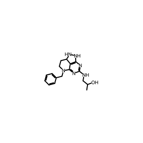 CC(O)CNc1nc2c3c(n1)N(Cc1ccccc1)CCC3NN2